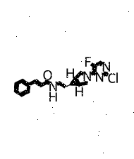 O=C(/C=C/c1ccccc1)NCC[C@@H]1[C@H]2CN(c3nc(Cl)ncc3F)C[C@@H]12